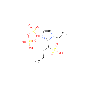 C=Cn1ccnc1C(CCC)S(=O)(=O)O.O=S(=O)(O)OS(=O)(=O)O